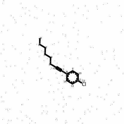 CCCCCCC#Cc1ccc(Cl)cc1